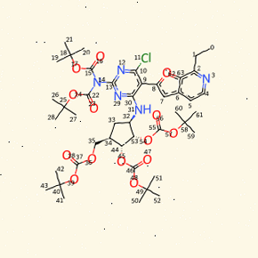 CCc1nccc2cc(-c3c(Cl)nc(N(C(=O)OC(C)(C)C)C(=O)OC(C)(C)C)nc3N[C@@H]3C[C@H](COC(=O)OC(C)(C)C)[C@@H](OC(=O)OC(C)(C)C)[C@H]3OC(=O)OC(C)(C)C)oc12